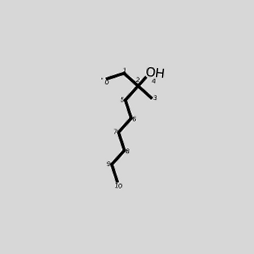 [CH2]CC(C)(O)CCCCCC